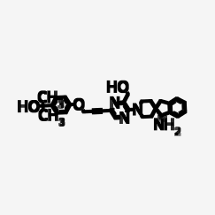 CC(C)(O)c1ccc(OCC#Cc2cnc(N3CCC4(CC3)Cc3ccccc3[C@H]4N)c(CO)n2)cc1